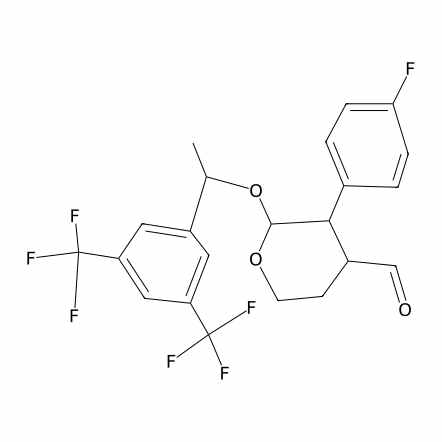 CC(OC1OCCC(C=O)C1c1ccc(F)cc1)c1cc(C(F)(F)F)cc(C(F)(F)F)c1